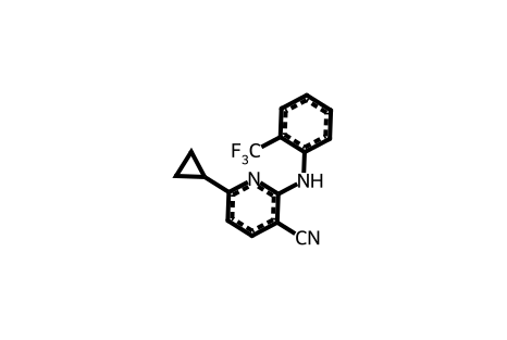 N#Cc1ccc(C2CC2)nc1Nc1ccccc1C(F)(F)F